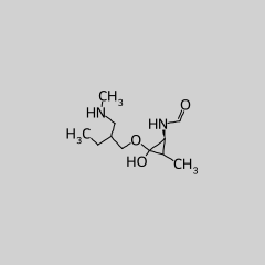 CCC(CNC)COC1(O)C(C)[C@@H]1NC=O